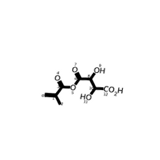 C=C(C)C(=O)OC(=O)C(O)C(O)C(=O)O